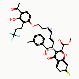 COC(=O)c1oc2c(c(=O)c1[C@H](/C=C/C=C\CCOc1ccc(C(C)=O)c(O)c1CCC(F)(F)F)[C@@H](O)c1cccc(C)c1)=CCC(=S)C=2